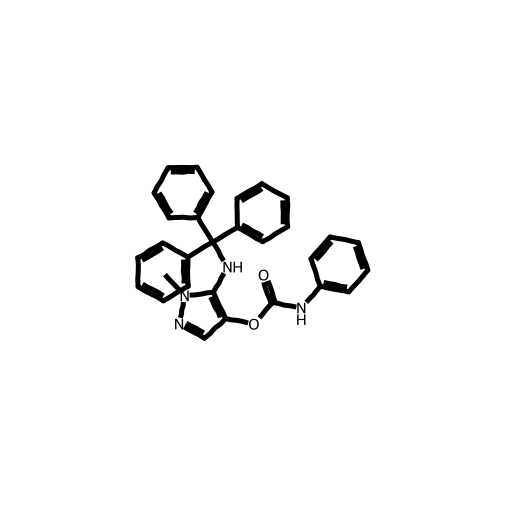 Cn1ncc(OC(=O)Nc2ccccc2)c1NC(c1ccccc1)(c1ccccc1)c1ccccc1